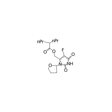 CCCC(CCC)C(=O)OCc1c(F)c(=O)[nH]c(=O)n1C1CCCO1